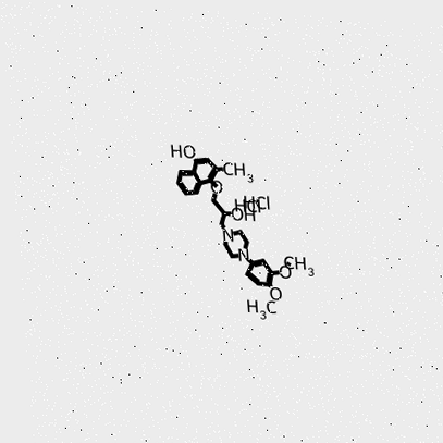 COc1ccc(N2CCN(CC(O)COc3c(C)cc(O)c4ccccc34)CC2)cc1OC.Cl.Cl